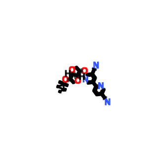 CC(C)(O[C@@H]1CO[C@H]2[C@H]1OC[C@@H]2Oc1ncc(-c2ccc(C#N)cn2)cc1C#N)[Si](C)(C)C